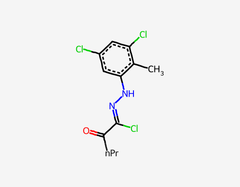 CCCC(=O)C(Cl)=NNc1cc(Cl)cc(Cl)c1C